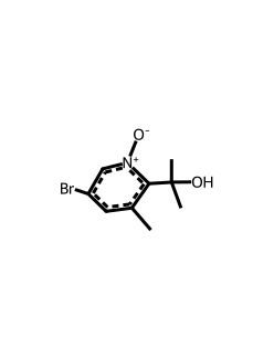 Cc1cc(Br)c[n+]([O-])c1C(C)(C)O